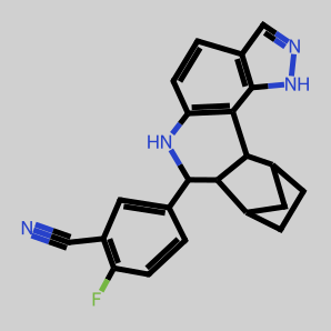 N#Cc1cc(C2Nc3ccc4cn[nH]c4c3C3C4CCC(C4)C23)ccc1F